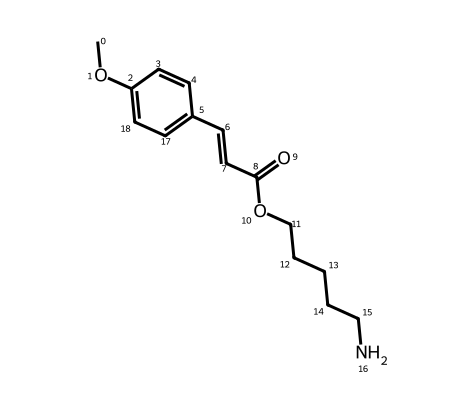 COc1ccc(/C=C/C(=O)OCCCCCN)cc1